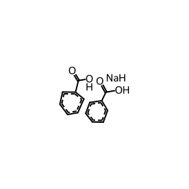 O=C(O)c1ccccc1.O=C(O)c1ccccc1.[NaH]